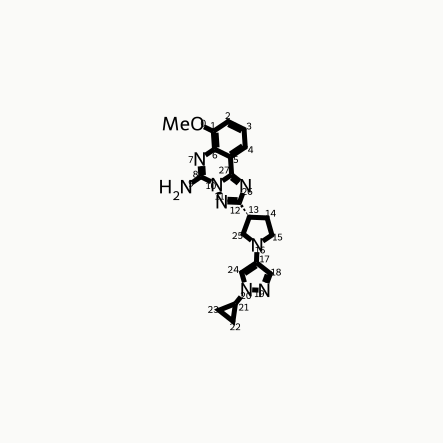 COc1cccc2c1nc(N)n1nc([C@@H]3CCN(c4cnn(C5CC5)c4)C3)nc21